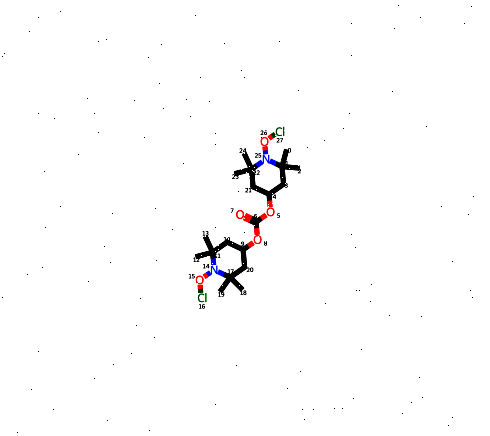 CC1(C)CC(OC(=O)OC2CC(C)(C)N(OCl)C(C)(C)C2)CC(C)(C)N1OCl